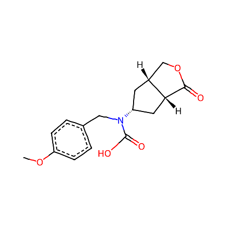 COc1ccc(CN(C(=O)O)[C@@H]2C[C@@H]3COC(=O)[C@@H]3C2)cc1